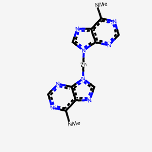 CNc1ncnc2c1nc[n]2[Zn][n]1cnc2c(NC)ncnc21